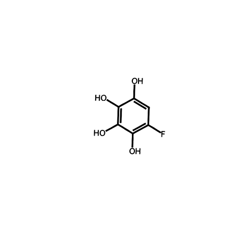 Oc1cc(F)c(O)c(O)c1O